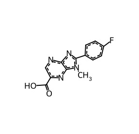 Cn1c(-c2ccc(F)cc2)nc2ncc(C(=O)O)nc21